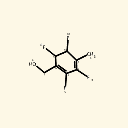 CC1=C(F)C(F)=C(CO)C(F)C1F